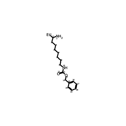 CCC(N)CCCCCCCNC(=O)OCc1ccccc1